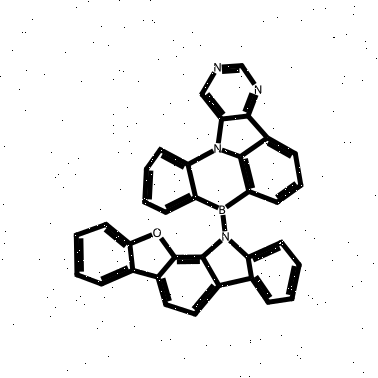 c1ccc2c(c1)B(n1c3ccccc3c3ccc4c5ccccc5oc4c31)c1cccc3c4ncncc4n-2c13